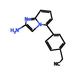 N#CCc1ccc(-c2cccc3nc(N)cn23)cc1